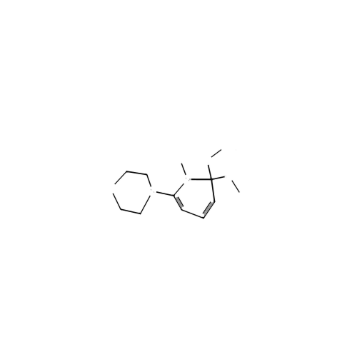 COC1(OC)[C]=CC=C(N2CCOCC2)N1C